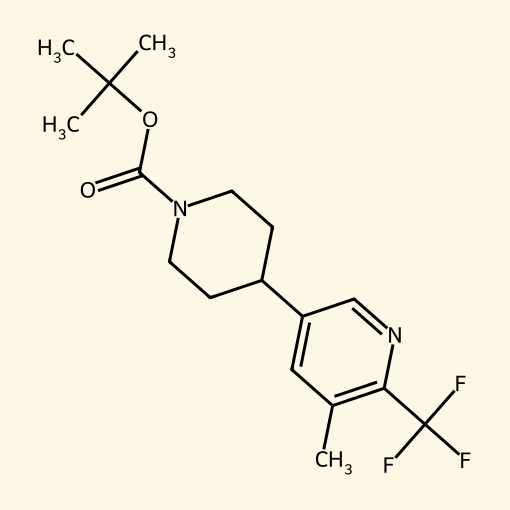 Cc1cc(C2CCN(C(=O)OC(C)(C)C)CC2)cnc1C(F)(F)F